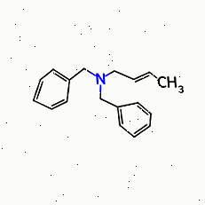 CC=CCN(Cc1ccccc1)Cc1ccccc1